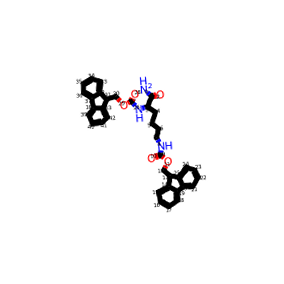 NC(=O)C(CCCCNC(=O)OCC1c2ccccc2-c2ccccc21)NC(=O)OCC1c2ccccc2-c2ccccc21